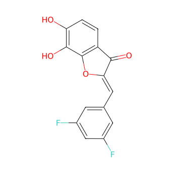 O=C1C(=Cc2cc(F)cc(F)c2)Oc2c1ccc(O)c2O